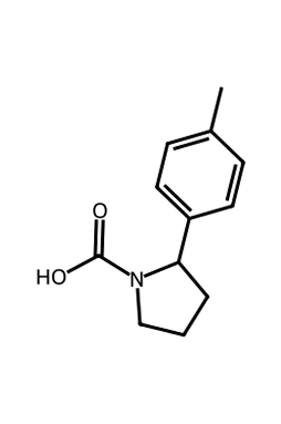 Cc1ccc(C2CCCN2C(=O)O)cc1